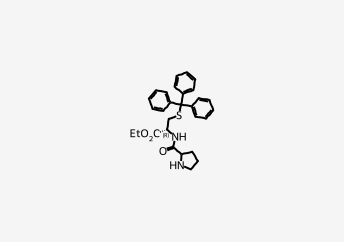 CCOC(=O)[C@H](CSC(c1ccccc1)(c1ccccc1)c1ccccc1)NC(=O)C1CCCN1